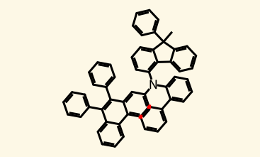 CC1(c2ccccc2)c2ccccc2-c2c(N(c3ccc4c(c3)c(-c3ccccc3)c(-c3ccccc3)c3ccccc34)c3ccccc3-c3ccccc3)cccc21